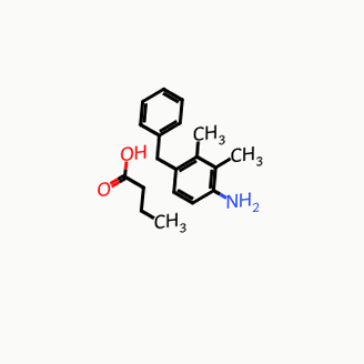 CCCC(=O)O.Cc1c(N)ccc(Cc2ccccc2)c1C